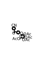 CC(=O)OC[C@H]1O[C@H](Oc2ccc(C(=O)c3ccc(C#N)cc3)cc2)[C@H](OC(C)=O)[C@@H](OC(C)=O)[C@@H]1OC(C)=O